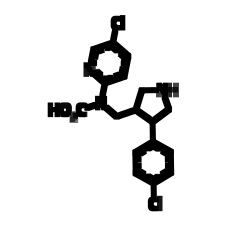 O=C(O)N(CC1CNCC1c1ccc(Cl)cc1)c1ccc(Cl)cn1